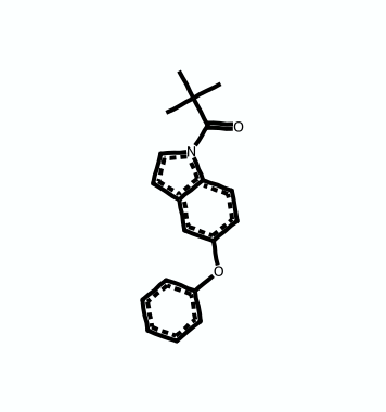 CC(C)(C)C(=O)n1ccc2cc(Oc3ccccc3)ccc21